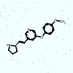 COc1ccc(Oc2cncc(C=C[C@H]3CCCN3)c2)cc1